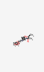 CC#CCC(C)[C@H](O)/C=C/[C@@H]1[C@H]2C/C(=C/CCCC(=O)OC(CC(C)C)C(=O)O)C[C@H]2C[C@H]1O